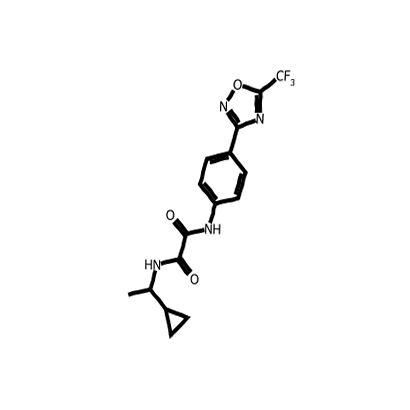 CC(NC(=O)C(=O)Nc1ccc(-c2noc(C(F)(F)F)n2)cc1)C1CC1